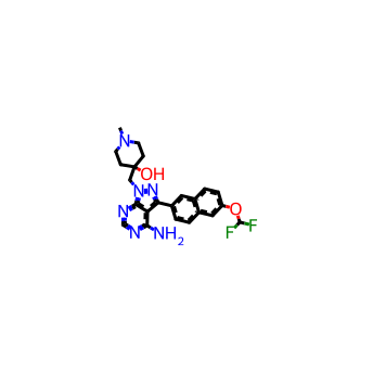 CN1CCC(O)(Cn2nc(-c3ccc4cc(OC(F)F)ccc4c3)c3c(N)ncnc32)CC1